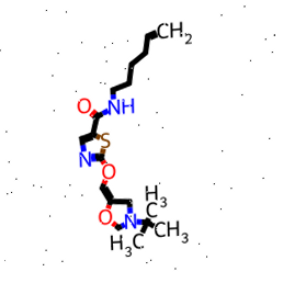 C=CCCCCNC(=O)c1cnc(OC=C2CN(C(C)(C)C)CO2)s1